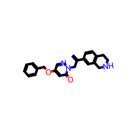 C=C(Cn1ncc(OCc2ccccc2)cc1=O)c1ccc2c(c1)CNCC2